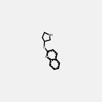 c1ccc2nc(OC3CCNC3)ccc2c1